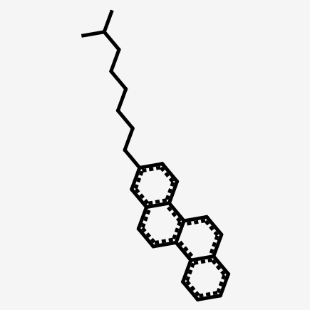 CC(C)CCCCCCc1ccc2c(ccc3c4ccccc4ccc23)c1